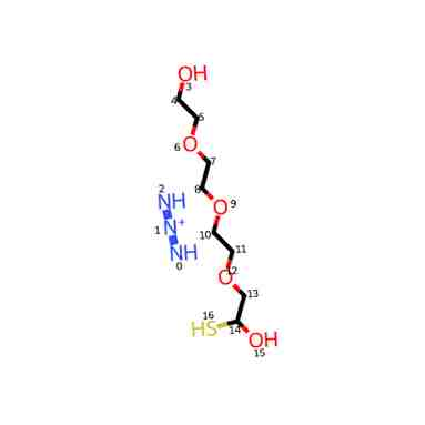 N=[N+]=N.OCCOCCOCCOCC(O)S